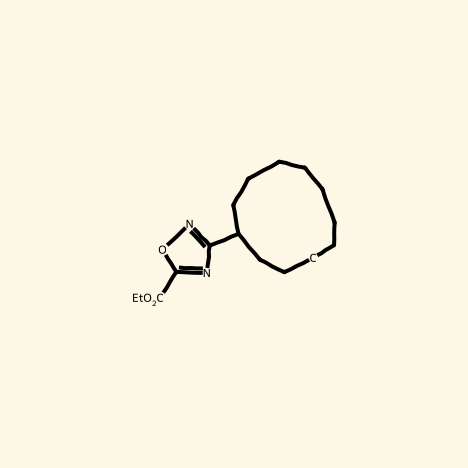 CCOC(=O)c1nc(C2CCCCCCCCCC2)no1